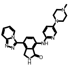 CN1CCN(c2ccc(Nc3ccc(-c4nnc5ccccn45)c4c3C(=O)NC4)nc2)CC1